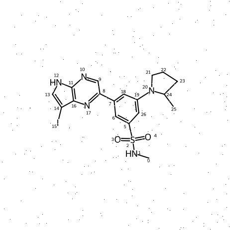 CNS(=O)(=O)c1cc(-c2cnc3[nH]cc(I)c3n2)cc(N2CCCC2C)c1